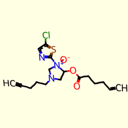 C#CCCCN1CC(OC(=O)CCCC=C)[N+]([O-])(c2ncc(Cl)s2)C1